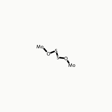 [Mo][O]SS[O][Mo]